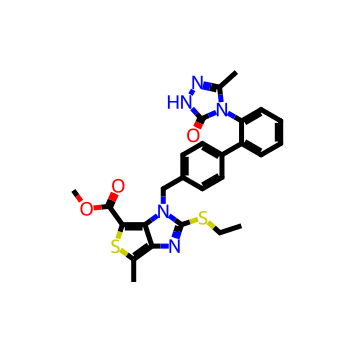 CCSc1nc2c(C)sc(C(=O)OC)c2n1Cc1ccc(-c2ccccc2-n2c(C)n[nH]c2=O)cc1